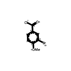 COc1ccc(C(=O)Cl)cc1Br